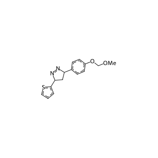 COCOc1ccc(C2CC(c3cccs3)N=N2)cc1